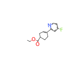 CCOC(=O)C1CC=C(c2cc(F)ccn2)CC1